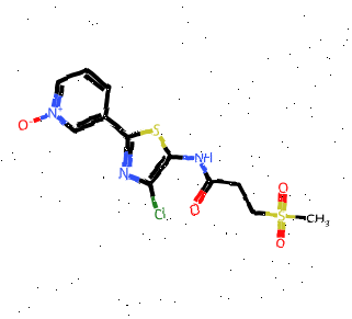 CS(=O)(=O)CCC(=O)Nc1sc(-c2ccc[n+]([O-])c2)nc1Cl